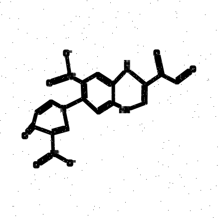 O=CC(=O)C1=CNc2cc(-n3ccc(=O)c([N+](=O)[O-])c3)c([N+](=O)[O-])cc2N1